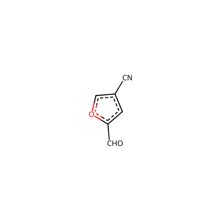 N#Cc1coc(C=O)c1